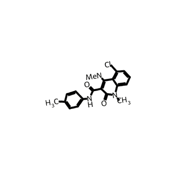 CNc1c(C(=O)Nc2ccc(C)cc2)c(=O)n(C)c2cccc(Cl)c12